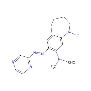 CCN1CCCCc2cc(N=Nc3cnccn3)c(N(C=O)C(F)(F)F)cc21